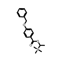 CC(OC(=O)c1ccc(OCc2ccccc2)cc1)[Si](C)(C)C